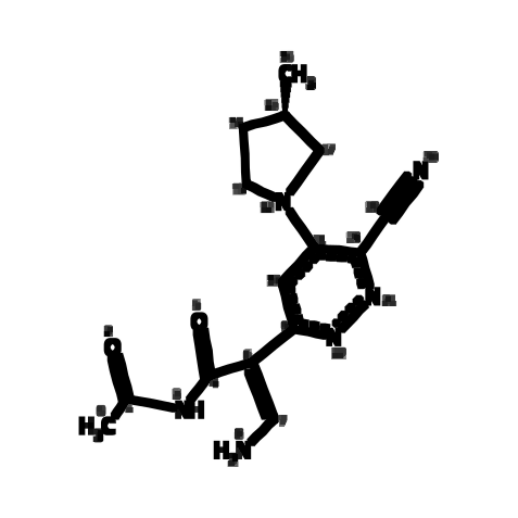 CC(=O)NC(=O)/C(=C\N)c1cc(N2CC[C@H](C)C2)c(C#N)nn1